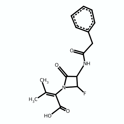 CC(C)=C(C(=O)O)N1C(=O)C(NC(=O)Cc2ccccc2)C1F